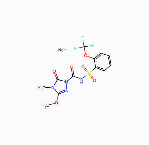 COc1nn(C(=O)NS(=O)(=O)c2ccccc2OC(F)(F)F)c(=O)n1C.[NaH]